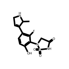 CC1NCC=C1c1ccc(O)c(N2CC(=O)NS2(=O)=O)c1F